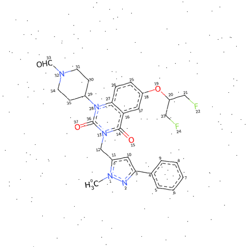 Cn1nc(-c2ccccc2)cc1Cn1c(=O)c2cc(OC(CF)CF)ccc2n(C2CCN(C=O)CC2)c1=O